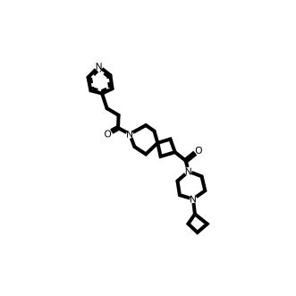 O=C(CCc1ccncc1)N1CCC2(CC1)CC(C(=O)N1CCN(C3CCC3)CC1)C2